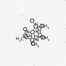 Cc1ccc2c(c1)c1cc(C)ccc1n2-c1c(-c2cc(-c3ccccc3)nc(-c3ccccc3)c2)cc(-n2c3ccccc3c3ccccc32)c(-n2c3ccc(C)cc3c3cc(C)ccc32)c1-c1cc(-c2ccccc2)nc(-c2ccccc2)c1